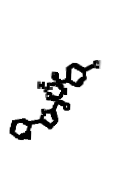 CS(=O)(=NS(=O)(=O)c1ccc(-c2ccccn2)s1)c1ccc(Cl)cc1